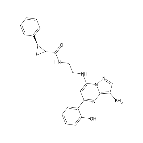 Bc1cnn2c(NCCNC(=O)[C@@H]3C[C@H]3c3ccccc3)cc(-c3ccccc3O)nc12